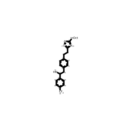 CCCCCCCCc1noc(CCc2ccc(CC([NH])c3ccc(C(F)(F)F)cc3)cc2)n1